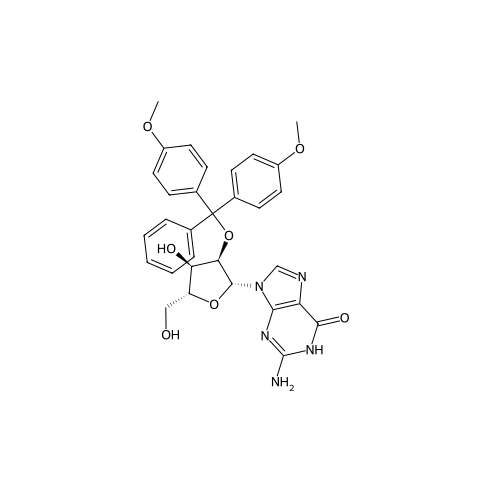 COc1ccc(C(O[C@@H]2[C@H](O)[C@@H](CO)O[C@H]2n2cnc3c(=O)[nH]c(N)nc32)(c2ccccc2)c2ccc(OC)cc2)cc1